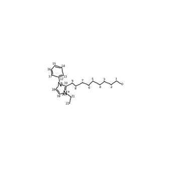 CCCCCCCCCCc1n(-c2ccccc2)cc[n+]1CC